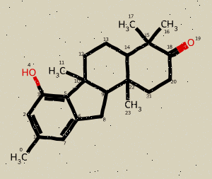 Cc1cc(O)c2c(c1)CC1C2(C)CCC2C(C)(C)C(=O)CCC21C